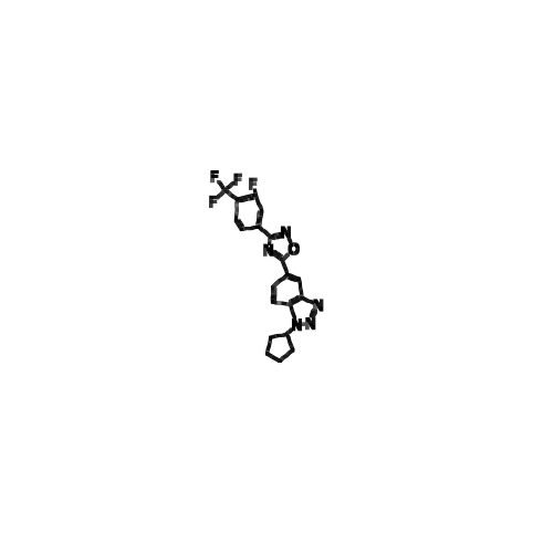 Fc1cc(-c2noc(-c3ccc4c(c3)nnn4C3CCCC3)n2)ccc1C(F)(F)F